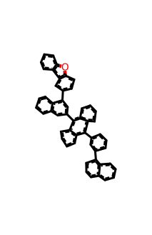 c1cc(-c2cccc3ccccc23)cc(-c2c3ccccc3c(-c3cc(-c4ccc5oc6ccccc6c5c4)c4ccccc4c3)c3ccccc23)c1